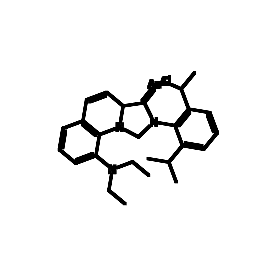 CCN(CC)c1cccc2c1N1CN(c3c(C(C)C)cccc3C(C)C)[C](=[Au-2][Cl])C1C=C2